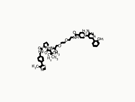 Cc1ncsc1-c1ccc(CNC(=O)[C@@H]2CCCN2C(=O)[C@@H](NC(=O)COCCOCCNC(=O)C2CCN(c3cc(-c4ccccc4O)nnc3N)CC2)C(C)(C)C)cc1